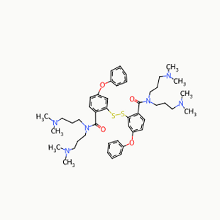 CN(C)CCCN(CCCN(C)C)C(=O)c1ccc(Oc2ccccc2)cc1SSc1cc(Oc2ccccc2)ccc1C(=O)N(CCCN(C)C)CCCN(C)C